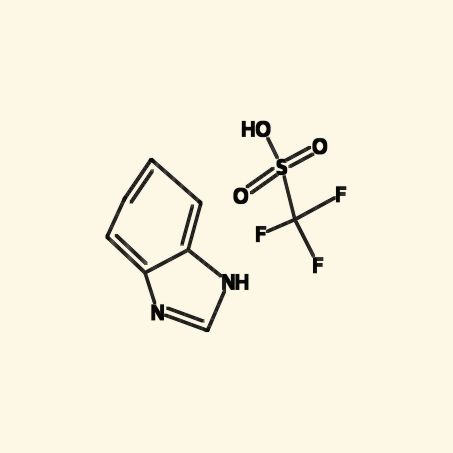 O=S(=O)(O)C(F)(F)F.c1ccc2[nH]cnc2c1